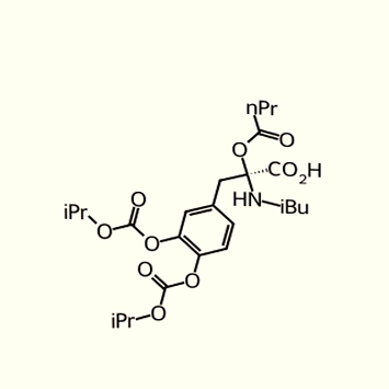 CCCC(=O)O[C@](Cc1ccc(OC(=O)OC(C)C)c(OC(=O)OC(C)C)c1)(NC(C)CC)C(=O)O